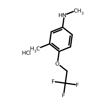 CNc1ccc(OCC(F)(F)F)c(C)c1.Cl